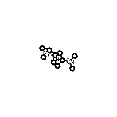 c1ccc(-c2nc(-c3ccccc3)nc(-c3cc(-c4ccccc4)c(-n4c5ccccc5c5c6oc7c(ccc8c9ccccc9n(-c9ccccc9)c87)c6ccc54)c(-c4ccccc4)c3)n2)cc1